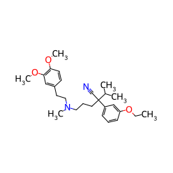 CCOc1cccc(C(C#N)(CCCN(C)CCc2ccc(OC)c(OC)c2)C(C)C)c1